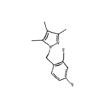 Cc1nn(Cc2ccc(F)cc2F)c(C)c1C